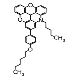 CCCCCCOc1ccc(-c2cc3c4c(c2)N(CCCCC)c2cccc5c2C4c2c(cccc2O3)O5)cc1